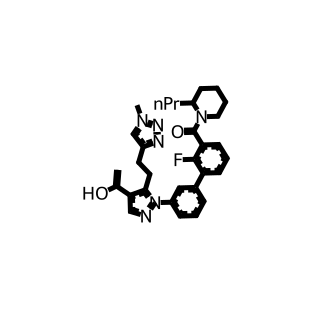 C=C(O)c1cnn(-c2cccc(-c3cccc(C(=O)N4CCCCC4CCC)c3F)c2)c1CCc1cn(C)nn1